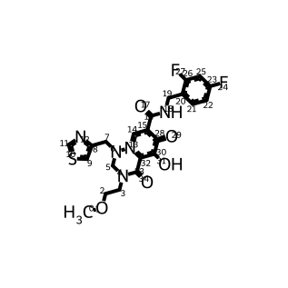 COCCN1CN(Cc2cscn2)n2cc(C(=O)NCc3ccc(F)cc3F)c(=O)c(O)c2C1=O